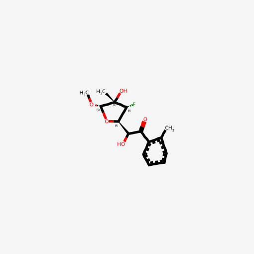 CO[C@H]1O[C@H](C(O)C(=O)c2ccccc2C)[C@@H](F)[C@@]1(C)O